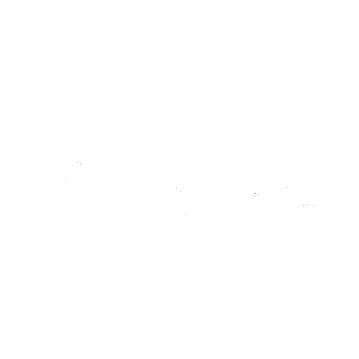 COC(=O)NC[C@H]1CN(c2cc(F)c3c(c2)COC(=O)N3C)C(=O)O1